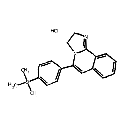 C[Si](C)(C)c1ccc(C2=Cc3ccccc3C3=NCCN23)cc1.Cl